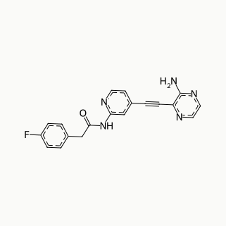 Nc1nccnc1C#Cc1ccnc(NC(=O)Cc2ccc(F)cc2)c1